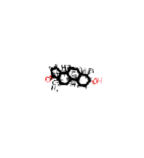 CC[C@H]1[C@H](O)CC[C@]2(C)[C@H]3CC[C@]4(C)C(=O)CC[C@H]4[C@@H]3CC[C@@H]12